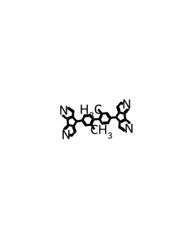 Cc1cc(C2c3ccncc3-c3cnccc32)ccc1-c1ccc(C2c3ccncc3-c3cnccc32)cc1C